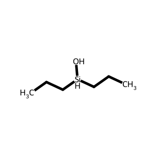 CCC[SiH](O)CCC